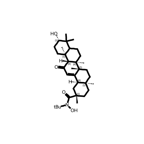 CC1(C)C2CC[C@]3(C)[C@H](C(=O)C=C4[C@@H]5C[C@@](C)(C(=O)N(O)C(C)(C)C)CC[C@]5(C)CC[C@]43C)[C@@]2(C)CC[C@@H]1O